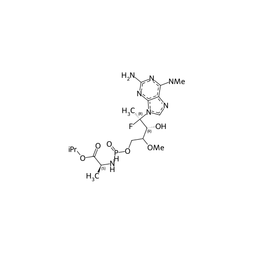 CNc1nc(N)nc2c1ncn2[C@](C)(F)[C@H](O)C(CO[PH](=O)N[C@@H](C)C(=O)OC(C)C)OC